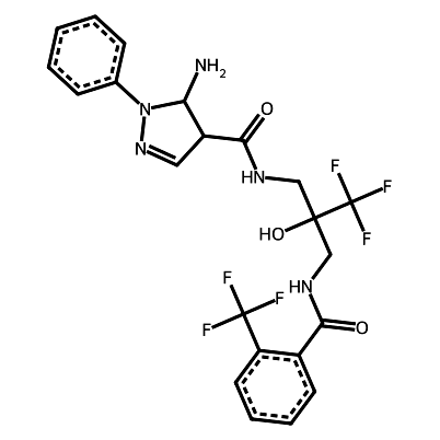 NC1C(C(=O)NCC(O)(CNC(=O)c2ccccc2C(F)(F)F)C(F)(F)F)C=NN1c1ccccc1